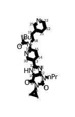 CCCn1c(=O)n(C2CC2)c(=O)c2[nH]c(-c3ccc(N(CCc4cccnc4)C(=O)C(C)(C)C)nc3)nc21